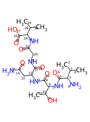 CC(C)C(N)C(=O)NC(C(=O)NC(CC(N)=O)C(=O)NCC(=O)NC(C(=O)O)C(C)C)C(C)O